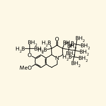 BC(B)(B)Oc1cc2c(cc1OC)CCN1CC(B)(C(B)(B)C(B)(C(B)(B)B)C(B)(B)B)C(=O)C(B)(B)C21